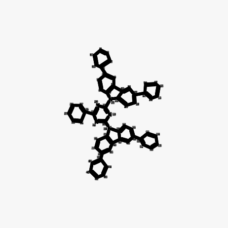 c1ccc(-c2ccc3c(c2)c2cc(-c4ccccc4)ccc2n3-c2nc(-c3ccccc3)nc(-n3c4ccc(-c5ccccc5)cc4c4cc(-c5ccccc5)ccc43)n2)cc1